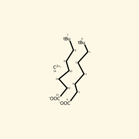 CC(C)(C)CCCCCC(=O)[O-].CC(C)(C)CCCCCC(=O)[O-].[C+2]